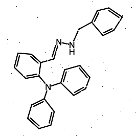 C(=NNCc1ccccc1)c1ccccc1N(c1ccccc1)c1ccccc1